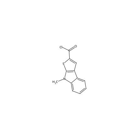 Cn1c2ccccc2c2cc(C(=O)Cl)sc21